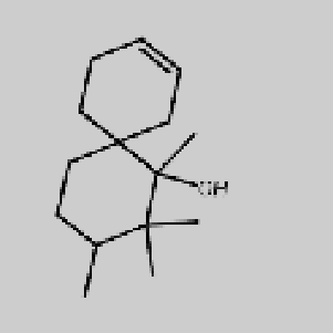 CC1CCC2(CC=CCC2)C(C)(O)C1(C)C